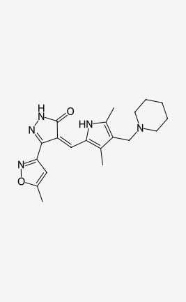 Cc1cc(C2=NNC(=O)C2=Cc2[nH]c(C)c(CN3CCCCC3)c2C)no1